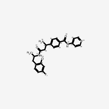 CC(Cc1ccc(F)cc1Cl)NC(=O)CC(N)c1ccc(C(=O)Nc2ccncc2)cc1